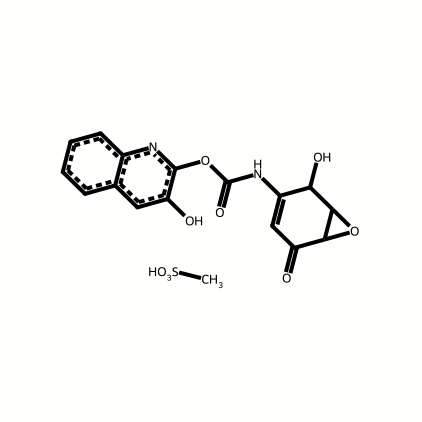 CS(=O)(=O)O.O=C(NC1=CC(=O)C2OC2C1O)Oc1nc2ccccc2cc1O